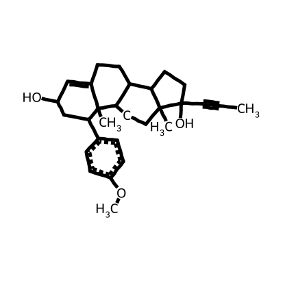 CC#CC1(O)CCC2C3CCC4=CC(O)CC(c5ccc(OC)cc5)C4(C)C3CCC21C